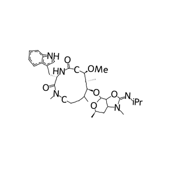 CO[C@@H]1CC(=O)N[C@@H](Cc2c[nH]c3ccccc23)C(=O)N(C)CCCC(C)[C@H](OC2O[C@H](C)CC3C2O/C(=N/C(C)C)N3C)[C@H]1C